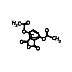 CC(=O)OC12C=CC(OC(C)=O)(CC1)C1C(=O)OC(=O)C12